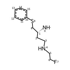 [NH][C@H](CCNCCF)CSc1ccccc1